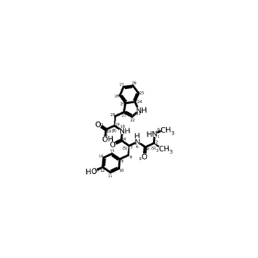 CN[C@@H](C)C(=O)N[C@@H](Cc1ccc(O)cc1)C(=O)N[C@H](Cc1c[nH]c2ccccc12)C(=O)O